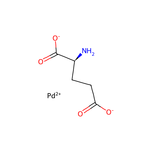 N[C@@H](CCC(=O)[O-])C(=O)[O-].[Pd+2]